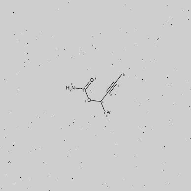 CC#CC(CCC)OC(N)=O